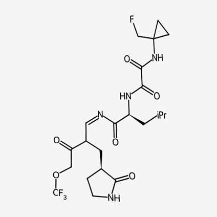 CC(C)C[C@H](NC(=O)C(=O)NC1(CF)CC1)C(=O)/N=C\C(C[C@@H]1CCNC1=O)C(=O)COC(F)(F)F